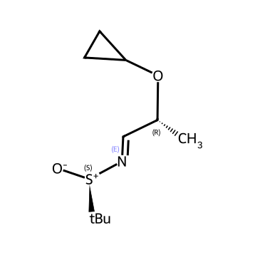 C[C@H](/C=N/[S@+]([O-])C(C)(C)C)OC1CC1